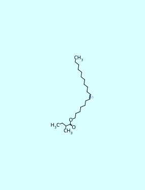 CCCCCCCCCC/C=C\CCCCCCOC(=O)C(C)CC